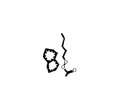 CCCCCOOC(C)=O.c1ccc2ccccc2c1